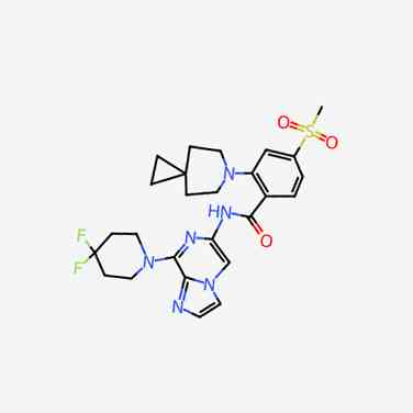 CS(=O)(=O)c1ccc(C(=O)Nc2cn3ccnc3c(N3CCC(F)(F)CC3)n2)c(N2CCC3(CC2)CC3)c1